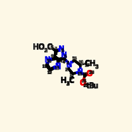 C[C@@H]1CN(c2nnc(C(=O)O)c3nccnc23)C[C@H](C)N1C(=O)OC(C)(C)C